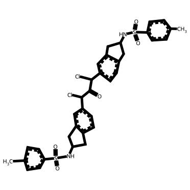 Cc1ccc(S(=O)(=O)NC2Cc3ccc(C(Cl)C(=O)C(Cl)c4ccc5c(c4)CC(NS(=O)(=O)c4ccc(C)cc4)C5)cc3C2)cc1